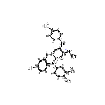 Cc1ccc(Nc2cc3nc4cc(F)ccc4n(-c4ccc(Cl)c(Cl)c4)c-3c/c2=N\C(C)C)cn1